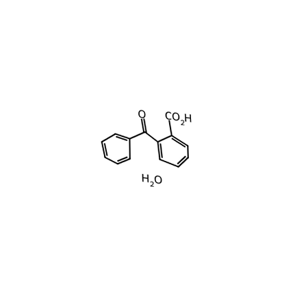 O.O=C(O)c1ccccc1C(=O)c1ccccc1